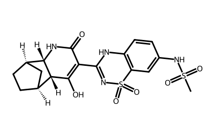 CS(=O)(=O)Nc1ccc2c(c1)S(=O)(=O)N=C(C1=C(O)[C@@H]3[C@H]4CC[C@H](C4)[C@@H]3NC1=O)N2